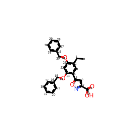 CCc1cc(-c2cc(C(=O)O)no2)c(OCc2ccccc2)cc1OCc1ccccc1